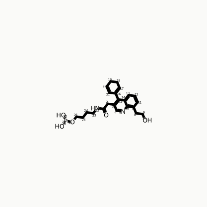 O=C(Cc1cnc2c(CCO)cccc2c1C1=CCCC=C1)NCCCCOP(O)O